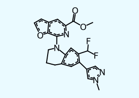 COC(=O)c1cc2ccoc2c(N2CCCc3cc(-c4cnn(C)c4)c(C(F)F)cc32)n1